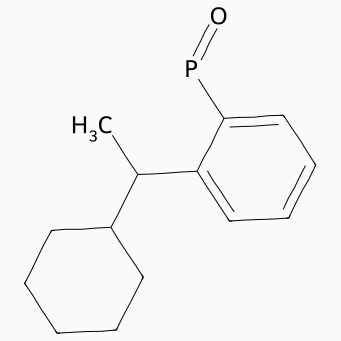 CC(c1ccccc1P=O)C1CCCCC1